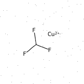 FC(F)F.[Cu+2]